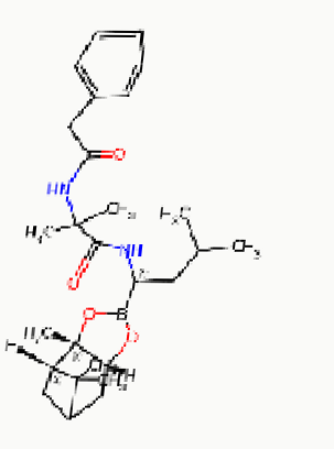 CC(C)C[C@H](NC(=O)C(C)(C)NC(=O)Cc1ccccc1)B1O[C@@H]2CC3C[C@@H](C3(C)C)[C@]2(C)O1